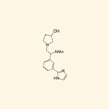 CNC(CN1CCC(O)C1)c1cccc(-c2ncc[nH]2)c1